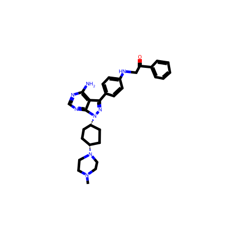 CN1CCN([C@H]2CC[C@@H](n3nc(-c4ccc(NCC(=O)c5ccccc5)cc4)c4c(N)ncnc43)CC2)CC1